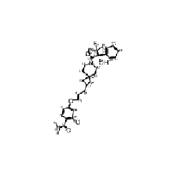 CN(C)C(=O)c1ccc(OCCCC2CC3(CCN(C(=O)[C@](O)(c4ccccc4)C(F)(F)F)CC3)C2)cc1Cl